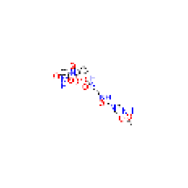 CC(C)(C)OC(=O)NC1CCN(CCC(=O)NCCCNC(=O)COc2cccc3c2C(=O)N(C2CCC(=O)NC2=O)C3=O)CC1